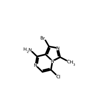 Cc1nc(Br)c2c(N)ncc(Cl)n12